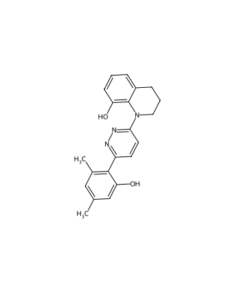 Cc1cc(C)c(-c2ccc(N3CCCc4cccc(O)c43)nn2)c(O)c1